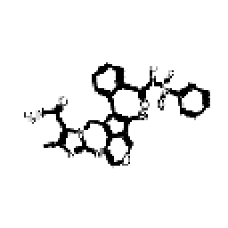 CCCc1nc(C)c(C(N)=O)n1Cc1c2ccocc-2c(Br)c1-c1ccccc1C(=O)NS(=O)(=O)c1ccccc1